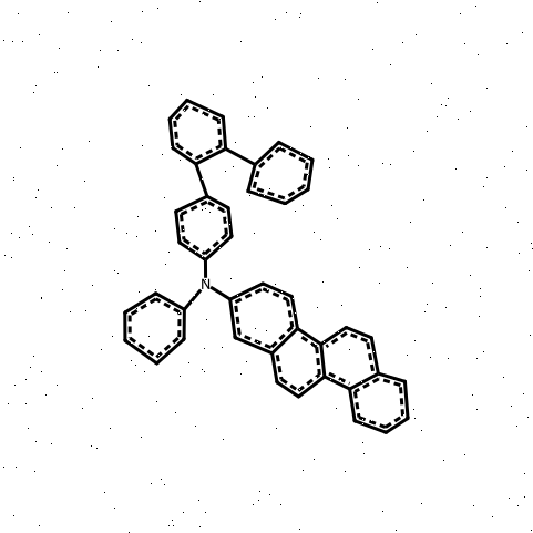 c1ccc(-c2ccccc2-c2ccc(N(c3ccccc3)c3ccc4c(ccc5c6ccccc6ccc45)c3)cc2)cc1